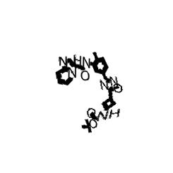 Cc1ccc(-c2noc(C3CC(NC(=O)OC(C)(C)C)C3)n2)cc1NC(=O)c1cnc2ccccn12